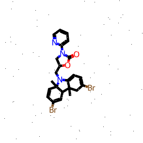 CC12CC(Br)=CC=C1N(CC1CN(c3ccccn3)C(=O)O1)C1(C)C=CC(Br)=CC21